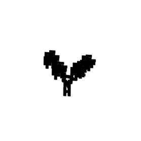 C1CCNC1.F[P-](F)(F)(F)(F)F.F[P-](F)(F)(F)(F)F.F[P-](F)(F)(F)(F)F.F[P-](F)(F)(F)(F)F.[C+4]